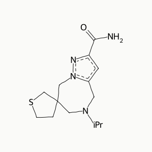 CC(C)N1Cc2cc(C(N)=O)nn2CC2(CCSC2)C1